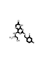 C[C@H](CO)Nc1nc(SCc2ccc(F)cc2F)nc2[nH]c(=O)cnc12